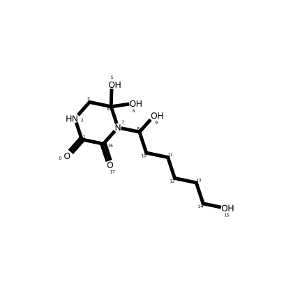 O=C1NCC(O)(O)N(C(O)CCCCCO)C1=O